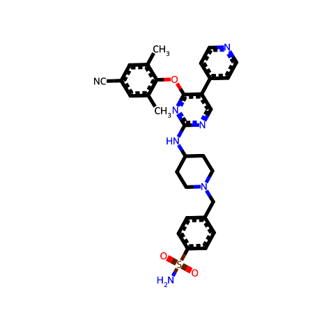 Cc1cc(C#N)cc(C)c1Oc1nc(NC2CCN(Cc3ccc(S(N)(=O)=O)cc3)CC2)ncc1-c1ccncc1